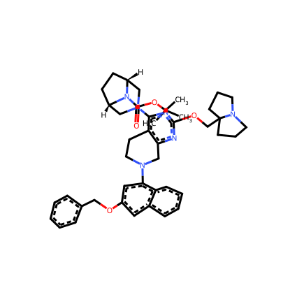 CC(C)(C)OC(=O)N1[C@@H]2CC[C@H]1CN(c1nc(OCC34CCCN3CCC4)nc3c1CCN(c1cc(OCc4ccccc4)cc4ccccc14)C3)C2